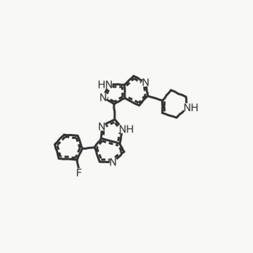 Fc1ccccc1-c1cncc2[nH]c(-c3n[nH]c4cnc(C5=CCNCC5)cc34)nc12